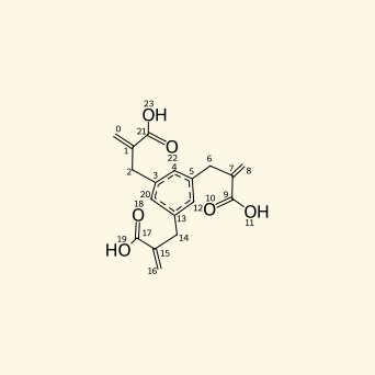 C=C(Cc1cc(CC(=C)C(=O)O)cc(CC(=C)C(=O)O)c1)C(=O)O